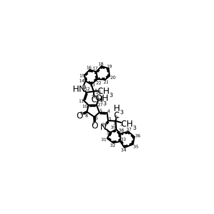 CC1(C)C(/C=C2\C(=O)C(=O)C(/C=C3/Nc4ccc5ccccc5c4C3(C)C)=C2O)=Nc2ccc3ccccc3c21